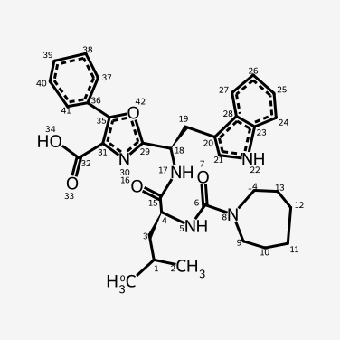 CC(C)C[C@H](NC(=O)N1CCCCCC1)C(=O)N[C@H](Cc1c[nH]c2ccccc12)c1nc(C(=O)O)c(-c2ccccc2)o1